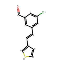 O=Cc1cc(Cl)cc(/C=C/c2ccsc2)c1